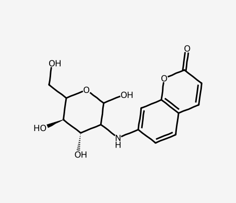 O=c1ccc2ccc(NC3C(O)OC(CO)[C@H](O)[C@H]3O)cc2o1